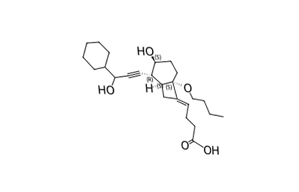 CCCCO[C@@]12CC[C@H](O)[C@@H](C#CC(O)C3CCCCC3)[C@@H]1CC2=CCCC(=O)O